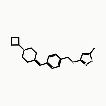 Cc1cc(OCc2ccc(C=C3CCN(C4CCC4)CC3)cc2)no1